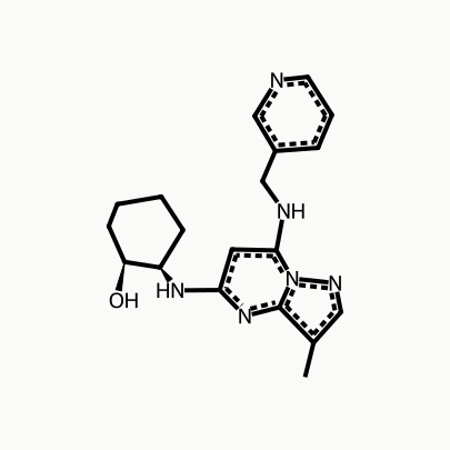 Cc1cnn2c(NCc3cccnc3)cc(N[C@@H]3CCCC[C@@H]3O)nc12